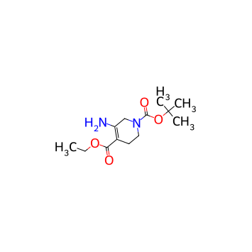 CCOC(=O)C1=C(N)CN(C(=O)OC(C)(C)C)CC1